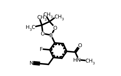 CNC(=O)c1cc(CC#N)c(F)c(B2OC(C)(C)C(C)(C)O2)c1